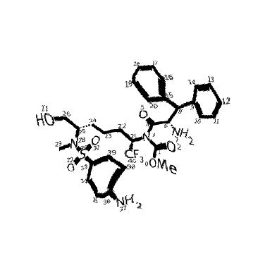 COC(=O)N(C(=O)[C@@H](N)C(c1ccccc1)c1ccccc1)[C@H](CCC[C@@H](CO)N(C)S(=O)(=O)c1ccc(N)cc1)C(F)(F)F